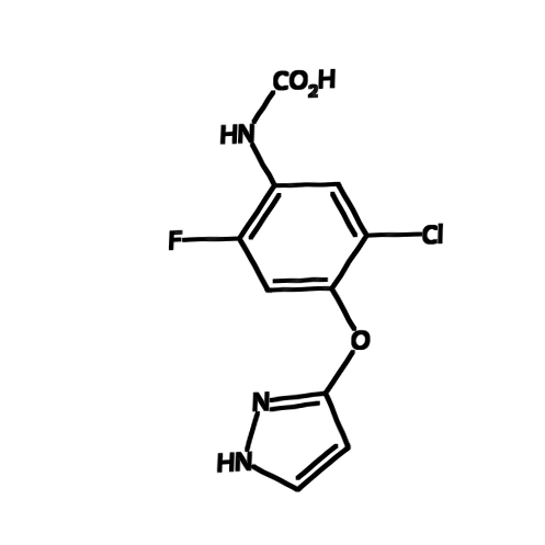 O=C(O)Nc1cc(Cl)c(Oc2cc[nH]n2)cc1F